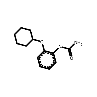 NC(=O)Nc1ccccc1OC1CCCCC1